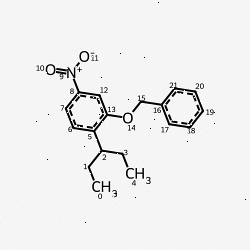 CCC(CC)c1ccc([N+](=O)[O-])cc1OCc1ccccc1